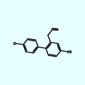 COCc1cc(C#N)ccc1-c1ccc(Cl)cc1